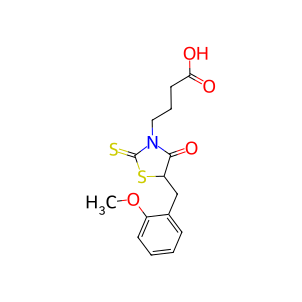 COc1ccccc1CC1SC(=S)N(CCCC(=O)O)C1=O